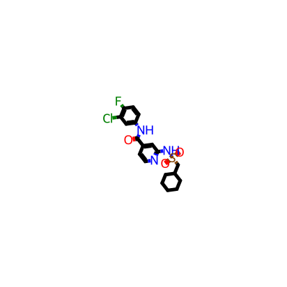 O=C(Nc1ccc(F)c(Cl)c1)c1ccnc(NS(=O)(=O)CC2CCCCC2)c1